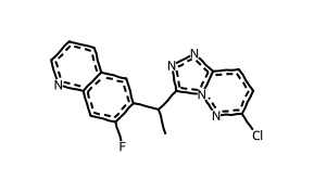 CC(c1cc2cccnc2cc1F)c1nnc2ccc(Cl)nn12